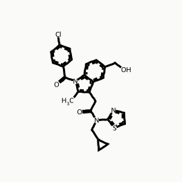 Cc1c(CC(=O)N(CC2CC2)c2nccs2)c2cc(CO)ccc2n1C(=O)c1ccc(Cl)cc1